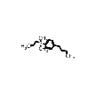 C=CCCc1ccc([Si](C)(C)CC=C)cc1